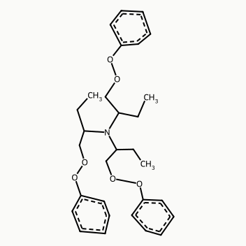 CCC(COOc1ccccc1)N(C(CC)COOc1ccccc1)C(CC)COOc1ccccc1